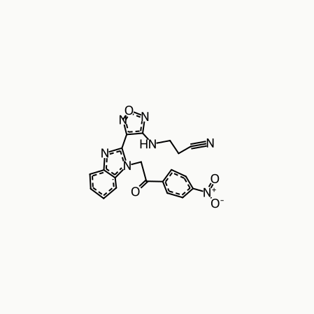 N#CCCNc1nonc1-c1nc2ccccc2n1CC(=O)c1ccc([N+](=O)[O-])cc1